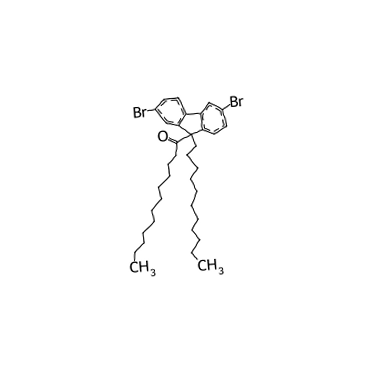 CCCCCCCCCCCC(=O)C1(CCCCCCCCCCC)c2ccc(Br)cc2-c2ccc(Br)cc21